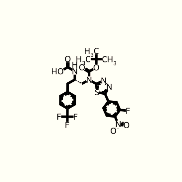 CC(C)(C)OC(=O)N(C[C@H](Cc1ccc(C(F)(F)F)cc1)NC(=O)O)c1nnc(-c2ccc([N+](=O)[O-])c(F)c2)s1